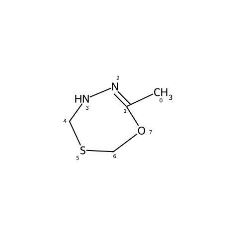 CC1=NNCSCO1